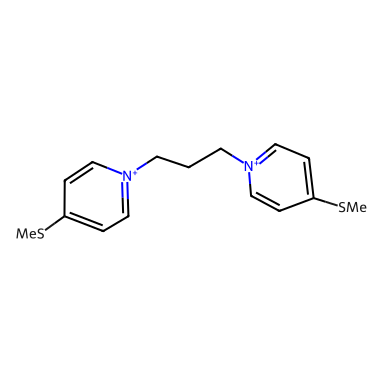 CSc1cc[n+](CCC[n+]2ccc(SC)cc2)cc1